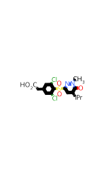 CC(C)c1cc(S(=O)(=O)c2c(Cl)cc(CC(=O)O)cc2Cl)nn(C)c1=O